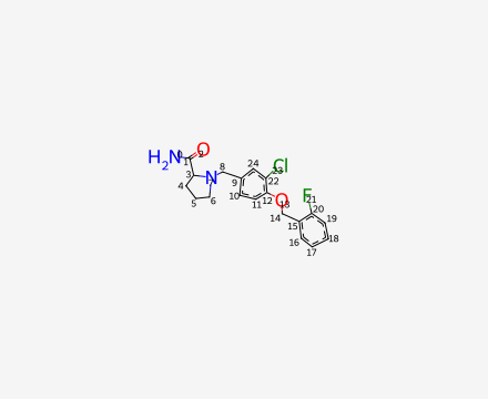 NC(=O)C1CCCN1Cc1ccc(OCc2ccccc2F)c(Cl)c1